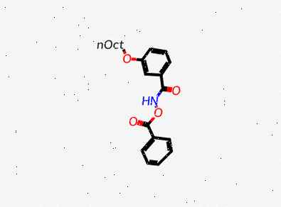 CCCCCCCCOc1cccc(C(=O)NOC(=O)c2ccccc2)c1